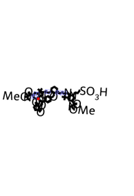 C=C1N=C(/C=C/C2=C(Oc3ccc(C(=O)ON4C(=O)CCC4=O)cc3)C(=C/C=C3/N=C4C(=CC(C(=O)N(C)OC)=CN4CCCS(=O)(=O)O)C3(C)C)/CCC2)C(C)(C)/C1=C/C(=C\C)C(=O)N(C)OC